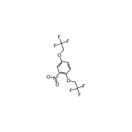 O=[N+]([O-])c1cc(OCC(F)(F)F)ccc1OCC(F)(F)F